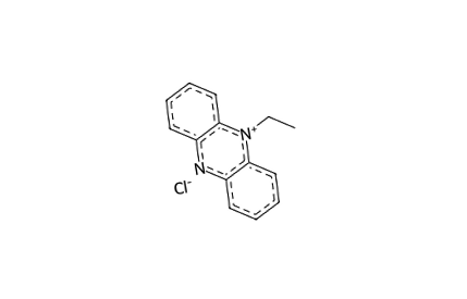 CC[n+]1c2ccccc2nc2ccccc21.[Cl-]